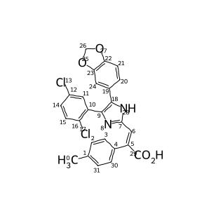 Cc1ccc(C(=Cc2nc(-c3cc(Cl)ccc3Cl)c(-c3ccc4c(c3)OCO4)[nH]2)C(=O)O)cc1